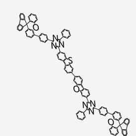 c1ccc(-c2nc(-c3ccc(-c4cccc5c4Oc4ccccc4C54c5ccccc5-c5ccccc54)cc3)nc(-c3ccc4c(c3)oc3cc(-c5ccc6c(c5)sc5cc(-c7nc(-c8ccccc8)nc(-c8ccc(-c9cccc%10c9Oc9ccccc9C%109c%10ccccc%10-c%10ccccc%109)cc8)n7)ccc56)ccc34)n2)cc1